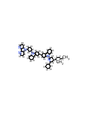 C=C(/C=C\C=C/C)c1cc(-c2ccccc2)nc(-n2c3ccccc3c3cc(-c4ccc5c(c4)c4ccccc4n5-c4cccc(-n5c6cccnc6c6ncccc65)c4)ccc32)c1